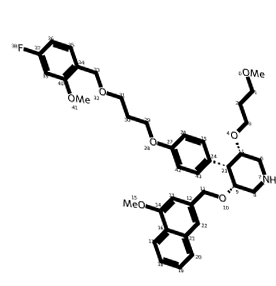 COCCCO[C@@H]1CNC[C@H](OCc2cc(OC)c3ccccc3c2)[C@@H]1c1ccc(OCCCOCc2ccc(F)cc2OC)cc1